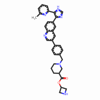 Cc1cccc(-c2[nH]cnc2-c2ccc3ncc(-c4ccc(CN5CCCC(C(=O)OC6CNC6)C5)cc4)cc3c2)n1